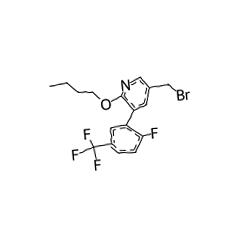 CCCCOc1ncc(CBr)cc1-c1cc(C(F)(F)F)ccc1F